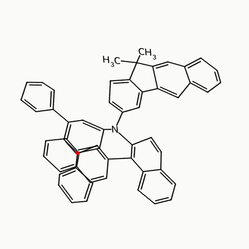 CC1(C)c2ccc(N(c3cc(-c4ccccc4)cc(-c4ccccc4)c3)c3ccc4ccccc4c3-c3ccc4ccccc4c3)cc2-c2cc3ccccc3cc21